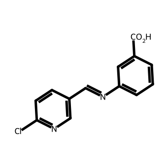 O=C(O)c1cccc(N=Cc2ccc(Cl)nc2)c1